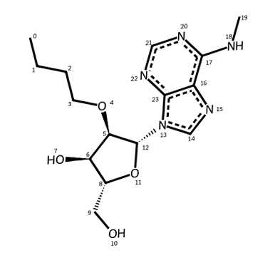 CCCCO[C@@H]1[C@H](O)[C@@H](CO)O[C@H]1n1cnc2c(NC)ncnc21